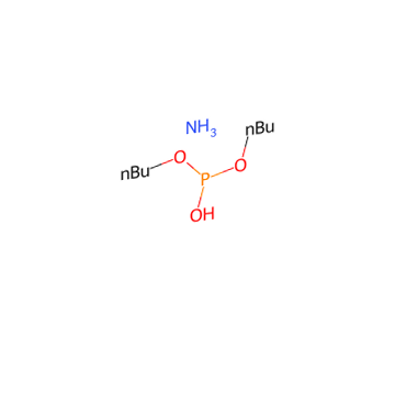 CCCCOP(O)OCCCC.N